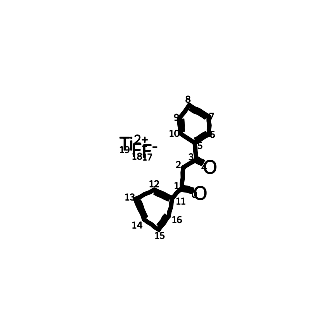 O=C(CC(=O)c1ccccc1)c1ccccc1.[F-].[F-].[Ti+2]